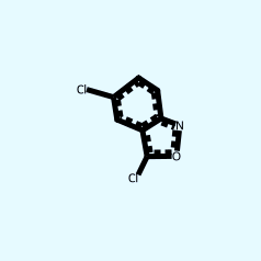 Clc1ccc2noc(Cl)c2c1